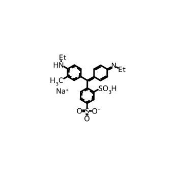 CCN=C1C=CC(=C(c2ccc(NCC)c(C)c2)c2ccc(S(=O)(=O)[O-])cc2S(=O)(=O)O)C=C1.[Na+]